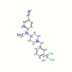 CN(c1ccc(C#N)cn1)C1CCN(Cc2cccc(C(F)(F)F)c2)CC1